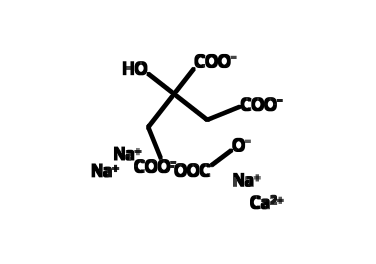 O=C([O-])CC(O)(CC(=O)[O-])C(=O)[O-].O=C([O-])[O-].[Ca+2].[Na+].[Na+].[Na+]